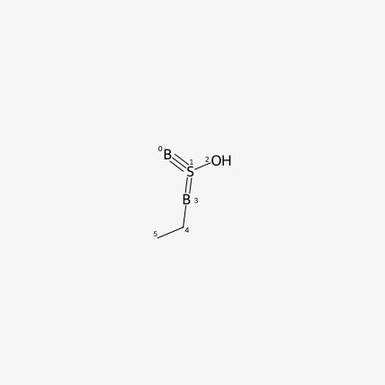 B#S(O)=BCC